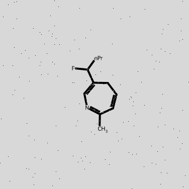 CCCC(F)C1=CN=C(C)C=CC1